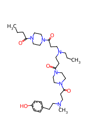 CCCC(=O)N1CCN(C(=O)CCN(CCC)CCC(=O)N2CCN(C(=O)CCN(C)CCc3ccc(O)cc3)CC2)CC1